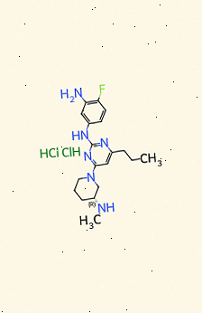 CCCc1cc(N2CCC[C@@H](NC)C2)nc(Nc2ccc(F)c(N)c2)n1.Cl.Cl